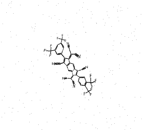 N#CC(C#N)=C1C(c2cc(C(F)(F)F)cc(C(F)(F)F)c2)=C(C#N)c2cc3c(cc21)C(C#N)=C(c1ccc(C(F)(F)F)c(C(F)(F)F)c1)C3=C(C#N)C#N